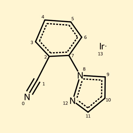 N#Cc1ccccc1-n1cccn1.[Ir]